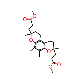 COC(=O)CCC1(C)CCc2c3c(c(C)c(C)c2O1)OC(C)(CCC(=O)OC)CC3